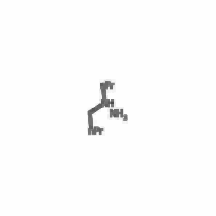 CCCCNCCC.N